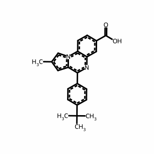 Cc1cc2c(-c3ccc(C(C)(C)C)cc3)nc3cc(C(=O)O)ccc3n2c1